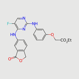 CCOC(=O)COc1cccc(Nc2ncc(F)c(Nc3ccc4c(c3)C(=O)OC4)n2)c1